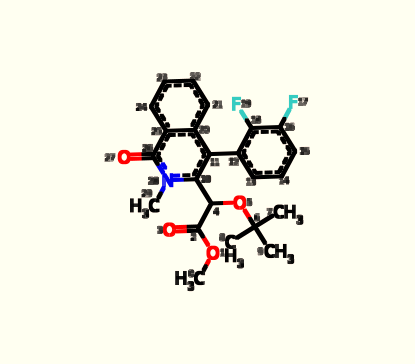 COC(=O)C(OC(C)(C)C)c1c(-c2cccc(F)c2F)c2ccccc2c(=O)n1C